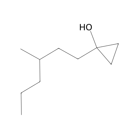 CCCC(C)CCC1(O)CC1